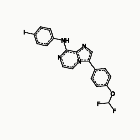 FC(F)Oc1ccc(-c2cnc3c(Nc4ccc(I)cc4)nccn23)cc1